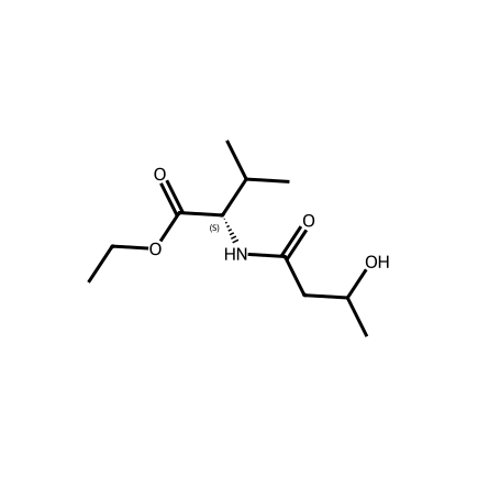 CCOC(=O)[C@@H](NC(=O)CC(C)O)C(C)C